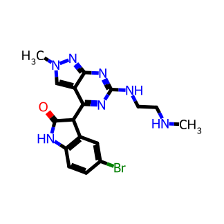 CNCCNc1nc(C2C(=O)Nc3ccc(Br)cc32)c2cn(C)nc2n1